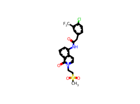 CS(=O)(=O)CCn1ccc2c(NC(=O)Cc3ccc(Cl)c(C(F)(F)F)c3)cccc2c1=O